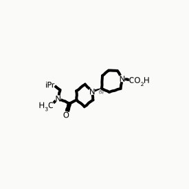 CC(C)CN(C)C(=O)C1CCN([C@H]2CCCN(C(=O)O)CC2)CC1